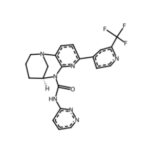 O=C(Nc1cccnn1)N1c2nc(-c3ccnc(C(F)(F)F)c3)ccc2N2CCC[C@H]1C2